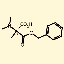 CN(C)[C@@](C)(C(=O)O)C(=O)OCc1ccccc1